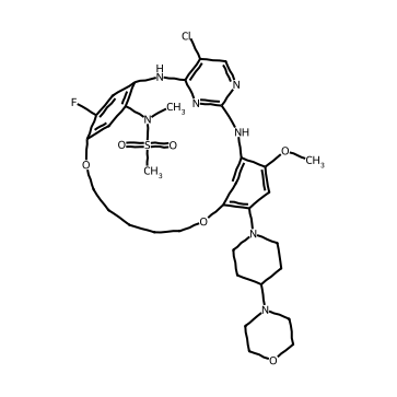 COc1cc(N2CCC(N3CCOCC3)CC2)c2cc1Nc1ncc(Cl)c(n1)Nc1cc(F)c(cc1N(C)S(C)(=O)=O)OCCCCCO2